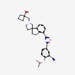 CC(C)Oc1ccc(-c2nc(-c3cccc4c3CCC43CCN(CC4(C(=O)O)CCC4)C3)no2)cc1C#N